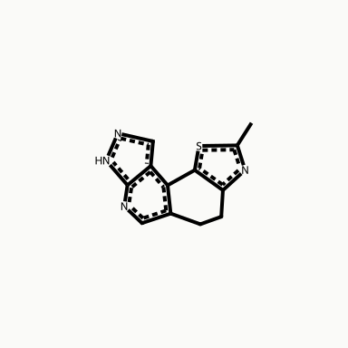 Cc1nc2c(s1)-c1c(cnc3[nH]ncc13)CC2